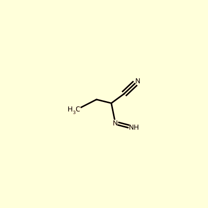 CCC(C#N)N=N